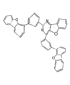 c1cc(-c2nc(-c3cccc(-c4cccc5c4oc4ccccc45)c3)c3oc4ccccc4c3n2)cc(-c2cccc3c2oc2ccccc23)c1